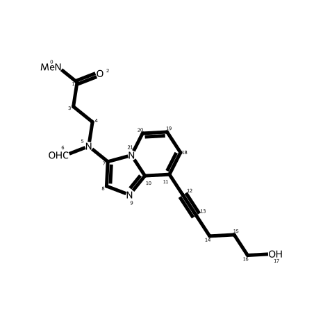 CNC(=O)CCN(C=O)c1cnc2c(C#CCCCO)cccn12